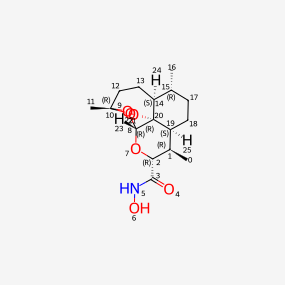 C[C@H]1[C@H](C(=O)NO)O[C@@H]2O[C@@]3(C)CC[C@H]4[C@H](C)CC[C@@H]1[C@@]24OO3